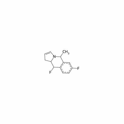 CC1c2cc(F)ccc2C(F)C2CC=CN12